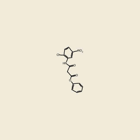 O=C(CC(=O)Oc1ccccc1)Nc1cc([N+](=O)[O-])ccc1Cl